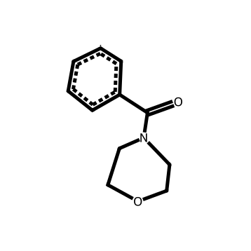 O=C(c1c[c]ccc1)N1CCOCC1